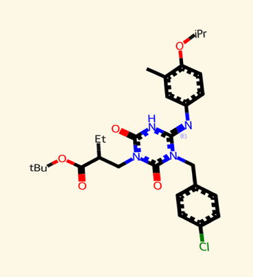 CCC(Cn1c(=O)[nH]/c(=N\c2ccc(OC(C)C)c(C)c2)n(Cc2ccc(Cl)cc2)c1=O)C(=O)OC(C)(C)C